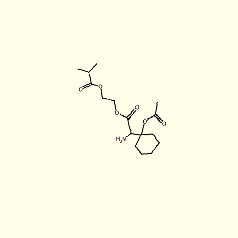 CC(=O)OC1(C(N)C(=O)OCCOC(=O)C(C)C)CCCCC1